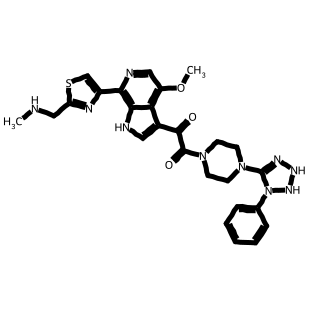 CNCc1nc(-c2ncc(OC)c3c(C(=O)C(=O)N4CCN(C5=NNNN5c5ccccc5)CC4)c[nH]c23)cs1